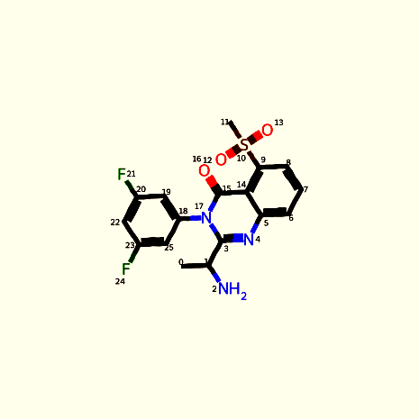 CC(N)c1nc2cccc(S(C)(=O)=O)c2c(=O)n1-c1cc(F)cc(F)c1